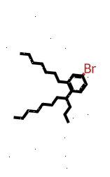 CCCCCCCc1cc(Br)ccc1C(CCC)CCCCCCC